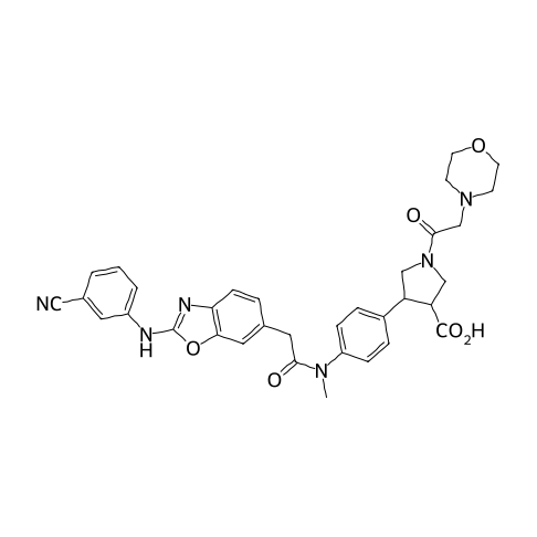 CN(C(=O)Cc1ccc2nc(Nc3cccc(C#N)c3)oc2c1)c1ccc(C2CN(C(=O)CN3CCOCC3)CC2C(=O)O)cc1